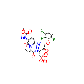 CCC(C(=O)NC(CC(=O)O)C(=O)COc1c(F)c(C)cc(F)c1F)n1cccc(NC(=O)OC)c1=O